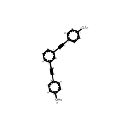 CC(=O)Oc1ccc(C#Cc2cccc(C#Cc3ccc(OC(C)=O)cc3)c2)cc1